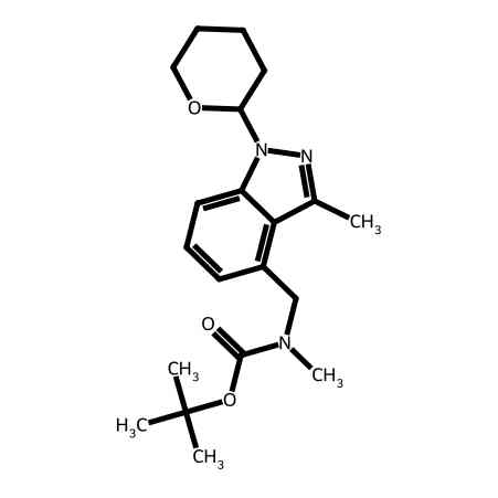 Cc1nn(C2CCCCO2)c2cccc(CN(C)C(=O)OC(C)(C)C)c12